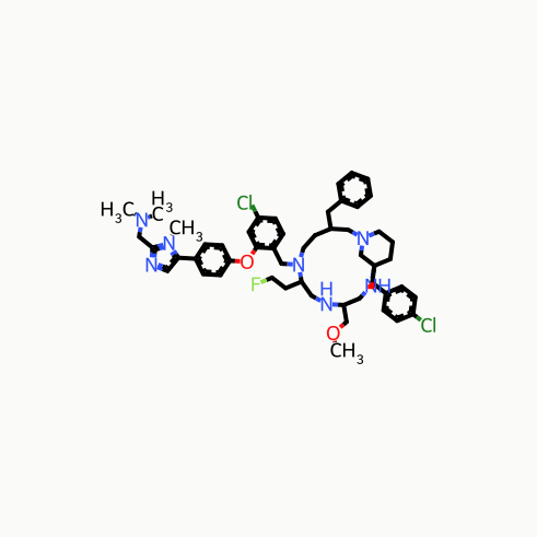 COCC1CNC2(Cc3ccc(Cl)cc3)CCCN(CC(Cc3ccccc3)CCN(Cc3ccc(Cl)cc3Oc3ccc(-c4cnc(CN(C)C)n4C)cc3)C(CCF)CN1)C2